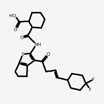 O=C(C/C=C/C1CCC(F)(F)CC1)c1c(NC(=O)C2CCCCC2C(=O)O)sc2c1CCC2